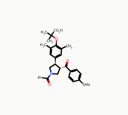 CSc1ccc(C(=O)[C@@H]2CN(C(=O)C(C)C)C[C@H]2c2cc(C)c(OC(C)(C)C(=O)O)c(C)c2)cc1